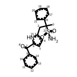 CC(Cc1ccc(C(=O)c2ccccc2)[nH]1)(c1ccccc1)S(N)(=O)=O